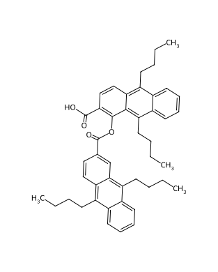 CCCCc1c2ccccc2c(CCCC)c2cc(C(=O)Oc3c(C(=O)O)ccc4c(CCCC)c5ccccc5c(CCCC)c34)ccc12